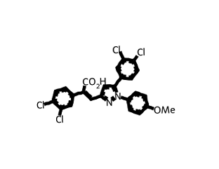 COc1ccc(-n2nc(/C=C(\C(=O)O)c3ccc(Cl)c(Cl)c3)cc2-c2ccc(Cl)c(Cl)c2)cc1